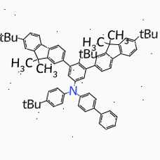 CC(C)(C)c1ccc(N(c2ccc(-c3ccccc3)cc2)c2cc(-c3ccc4c(c3)C(C)(C)c3cc(C(C)(C)C)ccc3-4)c(C(C)(C)C)c(-c3ccc4c(c3)C(C)(C)c3cc(C(C)(C)C)ccc3-4)c2)cc1